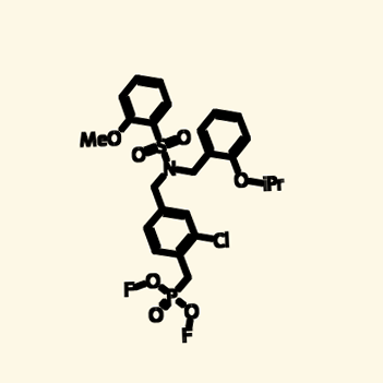 COc1ccccc1S(=O)(=O)N(Cc1ccc(CP(=O)(OF)OF)c(Cl)c1)Cc1ccccc1OC(C)C